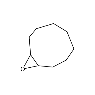 C1CCCC2OC2CCC1